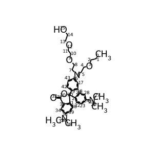 CCCOCCN(CCOCCOCCO)c1ccc(C2(c3ccc(N(C)C)cc3)OC(=O)c3cc(N(C)C)ccc32)cc1